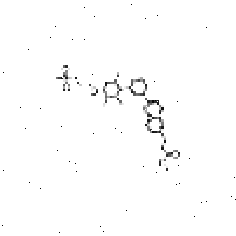 COC(=O)CCc1ccc2nc(-c3cccc(-c4c(C)cc(OCCCS(C)(=O)=O)c(F)c4C)c3)ccc2c1